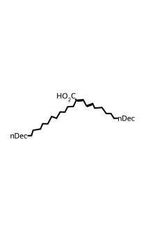 CCCCCCCCCCCCCCCC=CC=C(CCCCCCCCCCCCCCCCCCCCC)C(=O)O